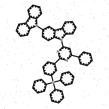 c1ccc(-c2cc(-n3c4ccccc4c4cc(-n5c6ccccc6c6ccccc65)ccc43)nc(-c3cccc([Si](c4ccccc4)(c4ccccc4)c4ccccc4)c3)n2)cc1